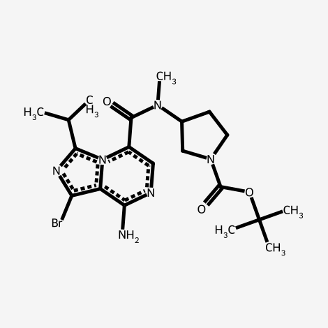 CC(C)c1nc(Br)c2c(N)ncc(C(=O)N(C)C3CCN(C(=O)OC(C)(C)C)C3)n12